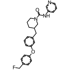 O=C(Nc1cccnc1)N1CCCC(Cc2cccc(Oc3ccc(CF)cc3)c2)C1